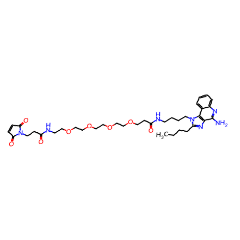 CCCCc1nc2c(N)nc3ccccc3c2n1CCCCNC(=O)CCOCCOCCOCCOCCNC(=O)CCN1C(=O)C=CC1=O